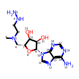 CN(CCNN)C[C@H]1O[C@@H](n2cnc3c(N)ncnc32)[C@H](O)[C@@H]1O